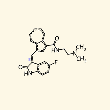 CN(C)CCNC(=O)c1cc(/C=C2/C(=O)Nc3ccc(F)cc32)c2cccccc1-2